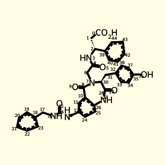 O=C(O)C[C@@H](NC(=O)CN1C(=O)c2cc(NC(=O)NCc3ccccc3)ccc2NC(=O)[C@@H]1Cc1ccc(O)cc1)c1ccccc1